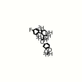 [2H]C1([2H])Oc2ccc(OC([2H])([2H])C3C([2H])([2H])NCC([2H])([2H])[C@@]3([2H])c3ccc(F)cc3)cc2O1